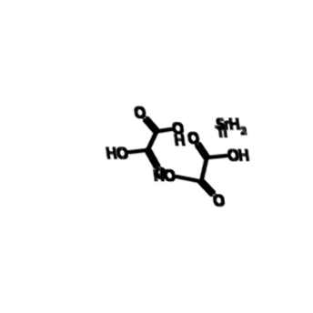 O=C(O)C(=O)O.O=C(O)C(=O)O.[SrH2].[Ti]